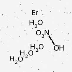 O.O.O.O.O=[N+]([O-])O.[Er]